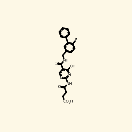 O=C(O)CCC(=O)Nc1ncc(C(=O)NCc2ccc(F)c(-c3ccccc3)c2)c(O)n1